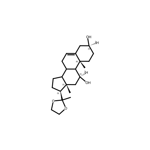 [2H][C@]1(O)CC[C@@]2(C)C(=CCC3C2[C@@]([2H])(O)C[C@@]2(C)C3CC[C@@H]2C2(C)OCCO2)C1